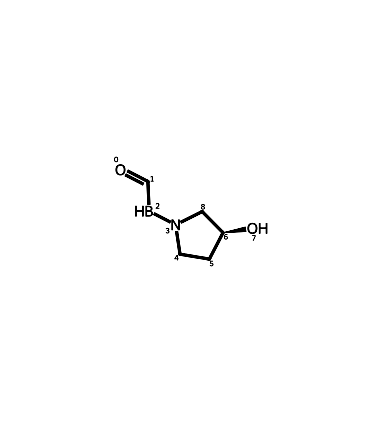 O=CBN1CC[C@H](O)C1